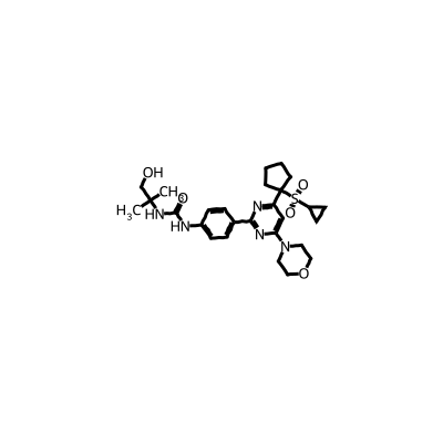 CC(C)(CO)NC(=O)Nc1ccc(-c2nc(N3CCOCC3)cc(C3(S(=O)(=O)C4CC4)CCCC3)n2)cc1